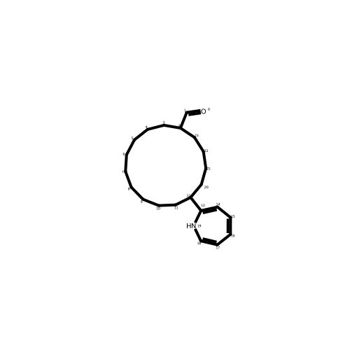 O=CC1CCCCCCCCCC(C2=CC=CC=CN2)CCCC1